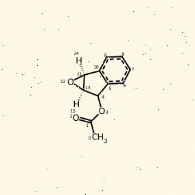 CC(=O)OC1c2ccccc2[C@@H]2O[C@H]12